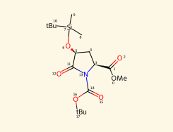 COC(=O)[C@@H]1C[C@H](O[Si](C)(C)C(C)(C)C)C(=O)N1C(=O)OC(C)(C)C